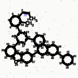 C/C=C\c1cccc(-c2nc(-c3ccccc3)nc(-c3cccc4oc5ccc(-c6ccc7ccc(-c8ccccc8)cc7c6)cc5c34)n2)c1C